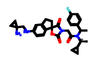 CC(c1ccc(F)cc1)N(C(=O)CN1C(=O)OC2(CCc3cc(NCC4(N)CC4)ccc32)C1=O)[C@@H](C)C1CC1